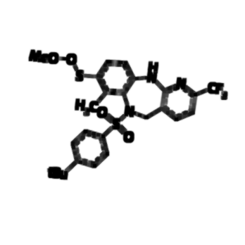 COOSc1ccc2c(c1C)N(S(=O)(=O)c1ccc(C(C)(C)C)cc1)Cc1ccc(C(F)(F)F)nc1N2